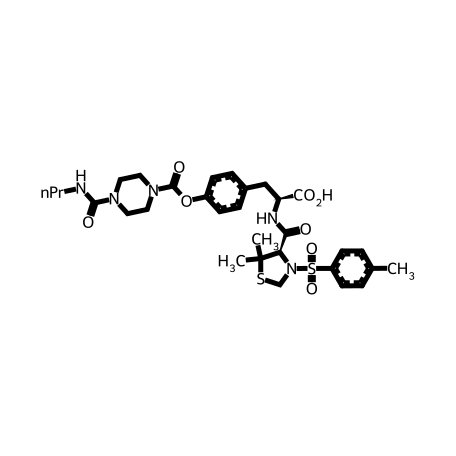 CCCNC(=O)N1CCN(C(=O)Oc2ccc(C[C@H](NC(=O)[C@H]3N(S(=O)(=O)c4ccc(C)cc4)CSC3(C)C)C(=O)O)cc2)CC1